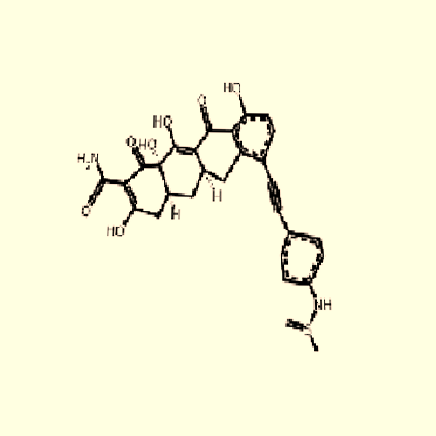 C=S(C)Nc1ccc(C#Cc2ccc(O)c3c2C[C@H]2C[C@H]4CC(O)=C(C(N)=O)C(=O)[C@@]4(O)C(O)=C2C3=O)cc1